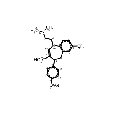 COc1ccc(C2Cc3cc(C(F)(F)F)ccc3N(CCN(C)C)C=C2C(=O)O)cc1